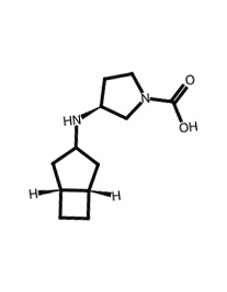 O=C(O)N1CC[C@H](NC2C[C@H]3CC[C@H]3C2)C1